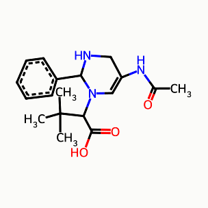 CC(=O)NC1=CN(C(C(=O)O)C(C)(C)C)C(c2ccccc2)NC1